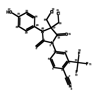 C=C1N(c2ccc(C#N)c(C(F)(F)F)c2)C(=O)C(CCl)(CCl)N1c1ccc(O)cc1